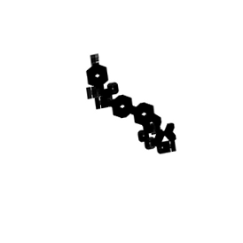 CC(C)[C@@H](C(=O)O)N1Cc2ccc(-c3ccc(NC(=O)Nc4ccc(F)cc4)cc3)cc2C1=O